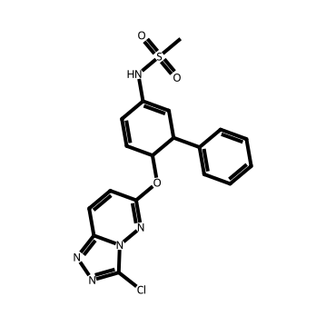 CS(=O)(=O)NC1=CC(c2ccccc2)C(Oc2ccc3nnc(Cl)n3n2)C=C1